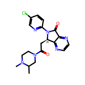 CC1CN(C(=O)C[C@@H]2c3nccnc3C(=O)N2c2ccc(Cl)cn2)CCN1C